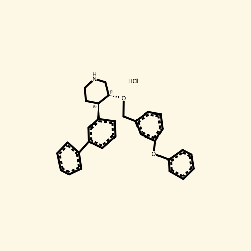 Cl.c1ccc(Oc2cccc(CO[C@H]3CNCC[C@@H]3c3cccc(-c4ccccc4)c3)c2)cc1